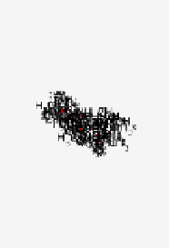 CC[C@H](C)[C@H](NC(=O)[C@H](C)N)C(=O)N(C)[C@@H](CC(C)C)C(=O)N(C)[C@@H](CC(C)C)C(=O)N(C)[C@@H](Cc1ccccc1)C(=O)N[C@H](C(=O)N(C)CC(=O)N(C)[C@H](C(=O)N(C)[C@@H](C)C(=O)N[C@@H](Cc1ccccc1)C(=O)N[C@@H](C=O)C(=O)N(C)[C@@H](Cc1ccccc1)C(=O)N[C@@H](C)C(=O)N1CCCCC1)C(C)C)[C@@H](C)O